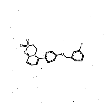 O=S1(=O)CCN2C(c3ccc(OCc4cccc(F)c4)cc3)=CC=CC2=N1